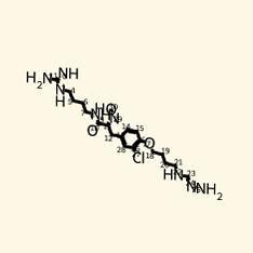 N=C(N)NCCCCNC(=O)C(Cc1ccc(OCCCCNC=NN)c(Cl)c1)=NO